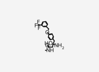 CNC(=O)CC(N)(O)Cc1ccc(OCc2cccc(C(F)(F)F)c2)cc1